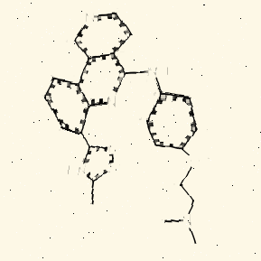 Cc1nnc(-c2cccc3c2nc(Nc2ccc(OCCN(C)C)cc2)c2ccncc23)[nH]1